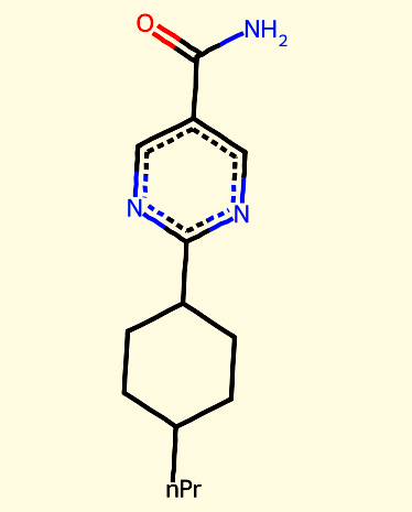 CCCC1CCC(c2ncc(C(N)=O)cn2)CC1